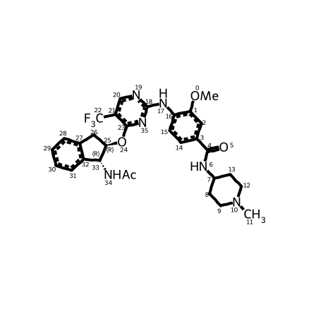 COc1cc(C(=O)NC2CCN(C)CC2)ccc1Nc1ncc(C(F)(F)F)c(O[C@@H]2Cc3ccccc3[C@H]2NC(C)=O)n1